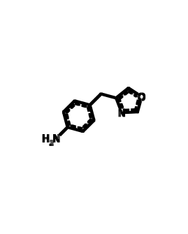 Nc1ccc(Cc2cocn2)cc1